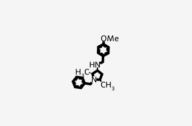 COc1ccc(CN[C@H]2C[C@@H](C)N(Cc3ccccc3)[C@@H]2C)cc1